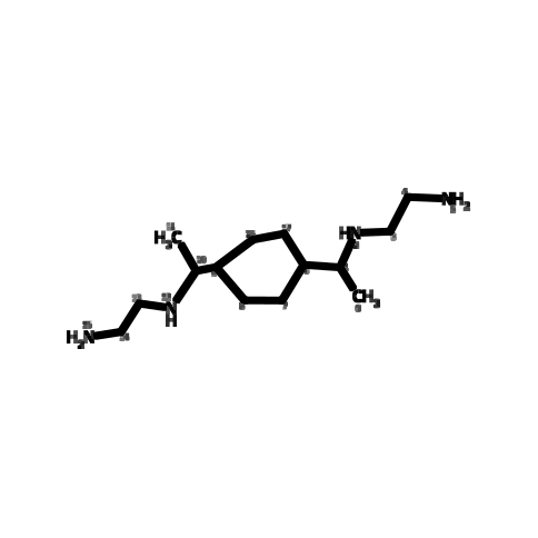 CC(NCCN)C1CCC(C(C)NCCN)CC1